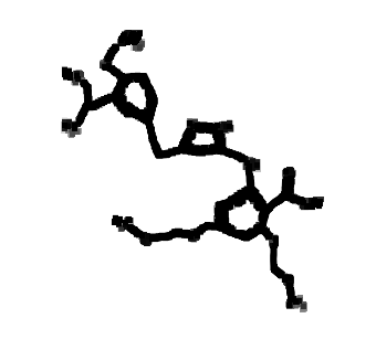 COCOc1cc(Nc2cc(Cc3ccc(OC)c(C(C)C)c3)n[nH]2)c(C(=O)O)c(OCOC)c1